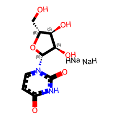 O=c1ccn([C@@H]2O[C@H](CO)[C@@H](O)[C@H]2O)c(=O)[nH]1.[NaH].[NaH]